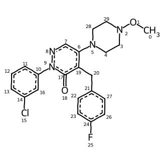 CON1CCN(c2cnn(-c3cccc(Cl)c3)c(=O)c2Cc2ccc(F)cc2)CC1